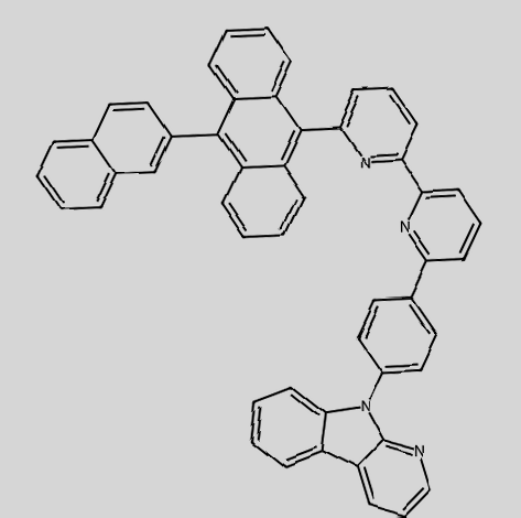 c1cc(-c2ccc(-n3c4ccccc4c4cccnc43)cc2)nc(-c2cccc(-c3c4ccccc4c(-c4ccc5ccccc5c4)c4ccccc34)n2)c1